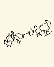 C[C@@H](C(=O)N1CCN(c2ccc(S(=O)(=O)Nc3ncncc3C#N)cc2)CC1)N1CCCc2cc(Cl)ccc21